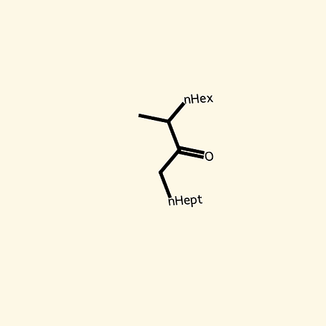 CCCCCCCCC(=O)C(C)CCCCCC